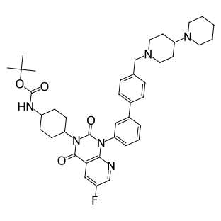 CC(C)(C)OC(=O)NC1CCC(n2c(=O)c3cc(F)cnc3n(-c3cccc(-c4ccc(CN5CCC(N6CCCCC6)CC5)cc4)c3)c2=O)CC1